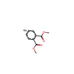 COC(=O)c1ccccc1C(=O)OC.[KH]